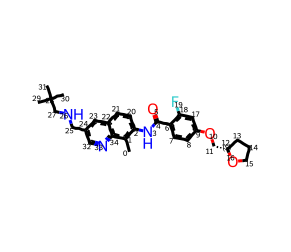 Cc1c(NC(=O)c2ccc(OC[C@@H]3CCCO3)cc2F)ccc2cc(CNCC(C)(C)C)cnc12